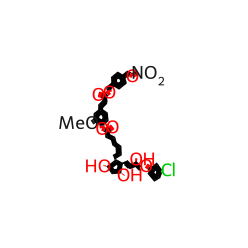 COc1cc(/C=C/C(=O)OCc2ccc(CO[N+](=O)[O-])cc2)ccc1OC(=O)CCC/C=C\C[C@@H]1[C@@H](/C=C/[C@@H](O)COc2cccc(Cl)c2)[C@H](O)C[C@@H]1O